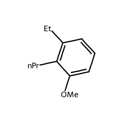 CCCc1c(CC)cccc1OC